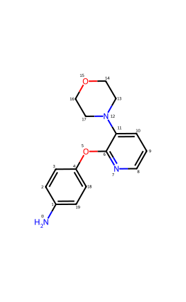 Nc1ccc(Oc2ncccc2N2CCOCC2)cc1